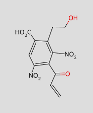 C=CC(=O)c1c([N+](=O)[O-])cc(C(=O)O)c(CCO)c1[N+](=O)[O-]